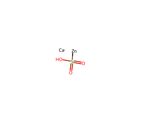 O=[S](=O)(O)[Zn].[Ca]